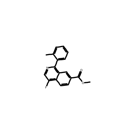 COC(=O)c1ccc2c(F)cnc(-c3ccccc3C)c2c1